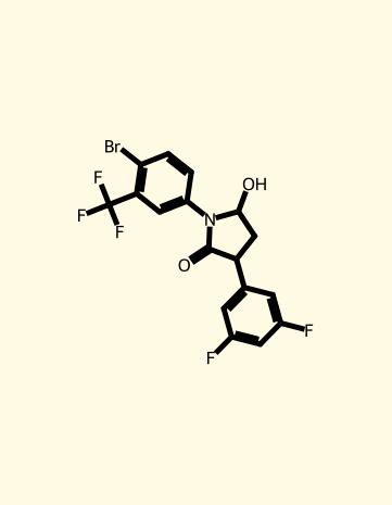 O=C1C(c2cc(F)cc(F)c2)CC(O)N1c1ccc(Br)c(C(F)(F)F)c1